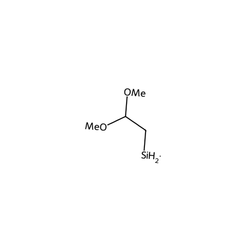 COC(C[SiH2])OC